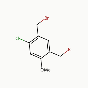 COc1cc(Cl)c(CBr)cc1CBr